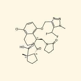 Cn1nnc(COc2ccc(Cl)c3c2[C@@H](CN2CCCC2=O)N(C(=O)[C@@H]2CCC[C@]2(C)C(=O)O)CC3)c1C(F)F